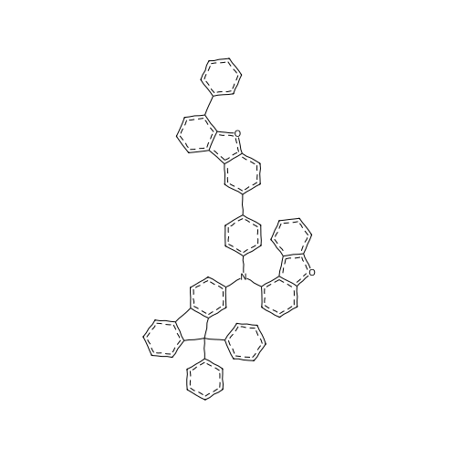 c1ccc(-c2cccc3c2oc2ccc(-c4ccc(N(c5ccc6c(c5)C(c5ccccc5)(c5ccccc5)c5ccccc5-6)c5cccc6oc7ccccc7c56)cc4)cc23)cc1